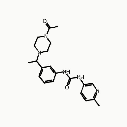 CC(=O)N1CCN(C(C)c2cccc(NC(=O)Nc3ccc(C)nc3)c2)CC1